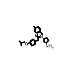 Cc1ccc(CN(C(=O)Cc2ccc(OCC(C)C)cc2)[C@@H]2CC[C@H](N)C2)cc1